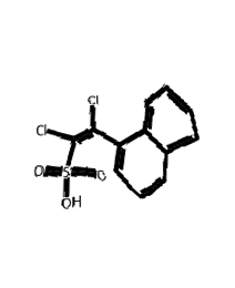 O=S(=O)(O)/C(Cl)=C(/Cl)c1cccc2ccccc12